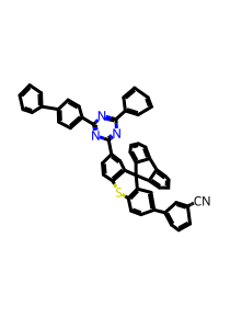 N#Cc1cccc(-c2ccc3c(c2)C2(c4cc(-c5nc(-c6ccccc6)nc(-c6ccc(-c7ccccc7)cc6)n5)ccc4S3)c3ccccc3-c3ccccc32)c1